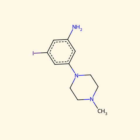 CN1CCN(c2cc(N)cc(I)c2)CC1